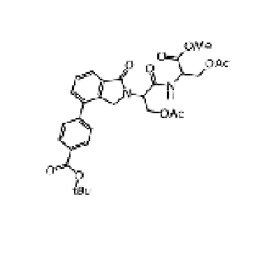 COC(=O)C(COC(C)=O)NC(=O)C(COC(C)=O)N1Cc2c(cccc2-c2ccc(C(=O)OC(C)(C)C)cc2)C1=O